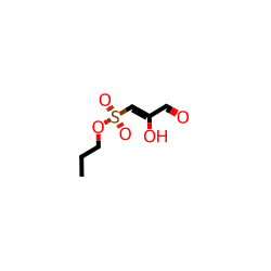 CCCOS(=O)(=O)C=C(O)C=O